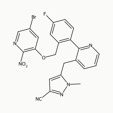 Cn1nc(C#N)cc1Cc1cccnc1-c1ccc(F)cc1COc1cc(Br)cnc1[N+](=O)[O-]